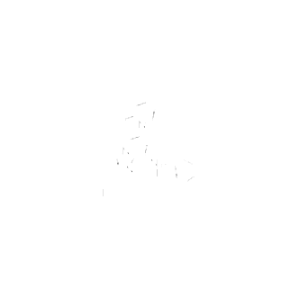 Cc1nc2c(N[C@@H]3CCc4ccccc43)cc(-n3ccccc3=O)cn2c1C.Cl